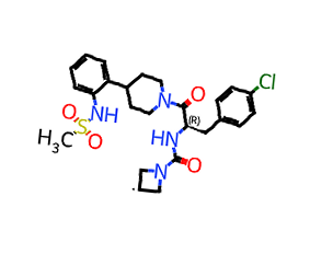 CS(=O)(=O)Nc1ccccc1C1CCN(C(=O)[C@@H](Cc2ccc(Cl)cc2)NC(=O)N2C[CH]C2)CC1